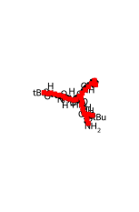 CC(C)(C)OC(=O)NCCCCC(N)C(=O)NCCNC(=O)c1cc(OCCNC(=O)CCc2ccccc2)cc(C(=O)NCCNC(=O)[C@H](CCCCN)NC(=O)OC(C)(C)C)c1